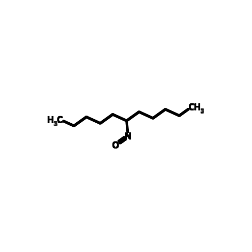 CCCCCC(CCCCC)N=O